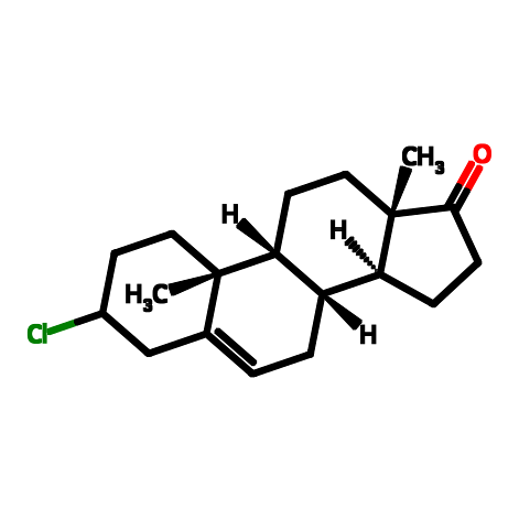 C[C@]12CCC(Cl)CC1=CC[C@@H]1[C@H]2CC[C@]2(C)C(=O)CC[C@@H]12